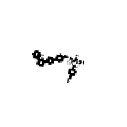 N#Cc1ccc(C(=O)N[C@@H](CSCc2ccc(-c3ccc(-c4cccc5c4oc4ccccc45)cc3)cc2)C(=O)O)cc1